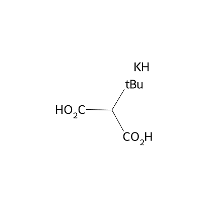 CC(C)(C)C(C(=O)O)C(=O)O.[KH]